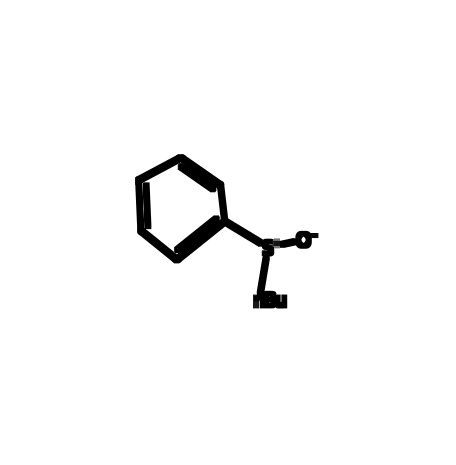 CCCC[S+]([O-])c1ccccc1